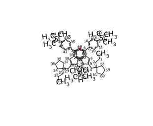 CCCC1(CC2=Cc3c(-c4ccc([Si](C)(C)C)cc4)cccc3[CH]2[Zr]([Cl])([Cl])([CH]2C(CC3(CCC)CCCC3)=Cc3c(-c4ccc([Si](C)(C)C)cc4)cccc32)[SiH](C)C)CCCC1